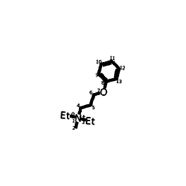 CC[N+](C)(CC)CCCOc1cc[c]cc1